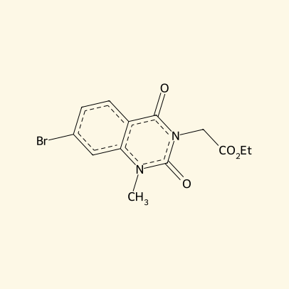 CCOC(=O)Cn1c(=O)c2ccc(Br)cc2n(C)c1=O